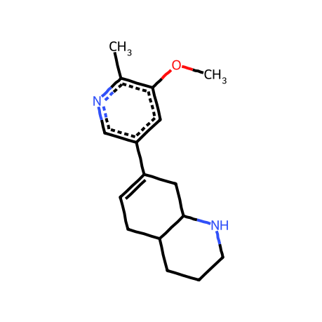 COc1cc(C2=CCC3CCCNC3C2)cnc1C